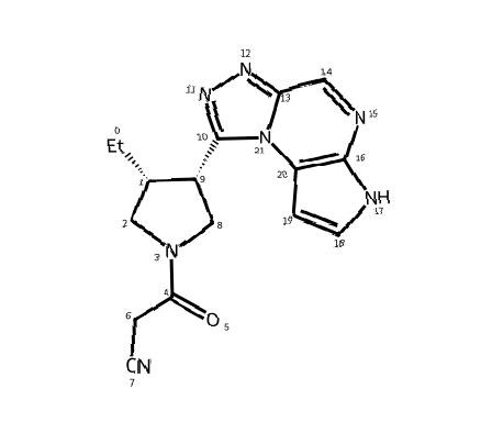 CC[C@H]1CN(C(=O)CC#N)C[C@H]1c1nnc2cnc3[nH]ccc3n12